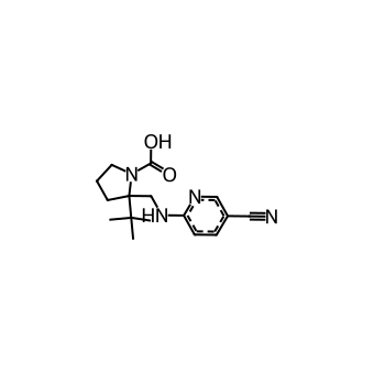 CC(C)(C)C1(CNc2ccc(C#N)cn2)CCCN1C(=O)O